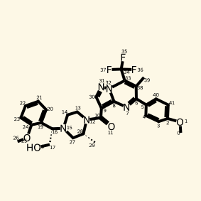 COc1ccc(-c2nc3c(C(=O)N4CCN([C@H](CO)c5ccccc5OC)C[C@H]4C)cnn3c(C(F)(F)F)c2C)cc1